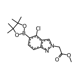 COC(=O)Cn1cc2c(Cl)c(B3OC(C)(C)C(C)(C)O3)ccc2n1